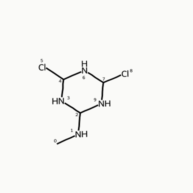 CNC1NC(Cl)NC(Cl)N1